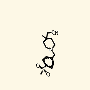 CC1(CC#N)CCN(Cc2ccc(S(C)(=O)=O)cc2)CC1